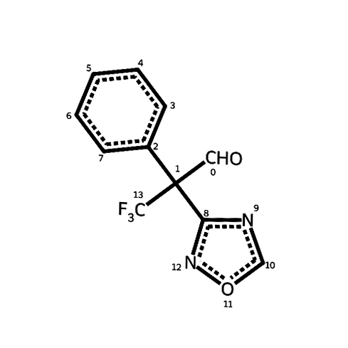 O=CC(c1ccccc1)(c1ncon1)C(F)(F)F